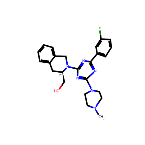 CN1CCN(c2nc(-c3cccc(F)c3)nc(N3Cc4ccccc4C[C@@H]3CO)n2)CC1